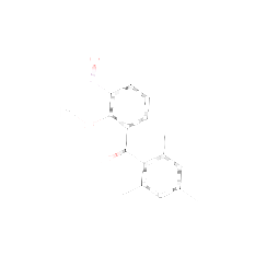 Cc1cc(C)c(C(=O)c2cccc(P=O)c2OC(C)C)c(C)c1